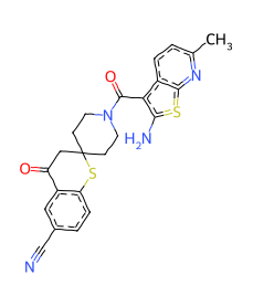 Cc1ccc2c(C(=O)N3CCC4(CC3)CC(=O)c3cc(C#N)ccc3S4)c(N)sc2n1